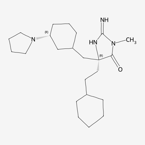 CN1C(=N)N[C@](CCC2CCCCC2)(CC2CCC[C@@H](N3CCCC3)C2)C1=O